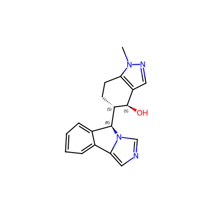 Cn1ncc2c1CC[C@@H]([C@@H]1c3ccccc3-c3cncn31)[C@@H]2O